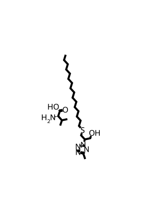 CC(C)[C@H](N)C(=O)O.CCCCCCCCCCCCCCCCSCC(CO)n1nnc(C)n1